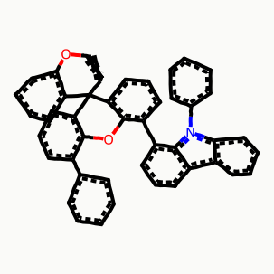 c1ccc(-c2cccc3c2Oc2c(-c4cccc5c6ccccc6n(-c6ccccc6)c45)cccc2C32c3ccccc3Oc3ccccc32)cc1